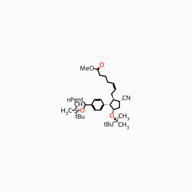 CCCCCC(O[Si](C)(C)C(C)(C)C)c1ccc([C@@H]2[C@@H](C/C=C\CCCC(=O)OC)[C@H](C#N)C[C@H]2O[Si](C)(C)C(C)(C)C)cc1